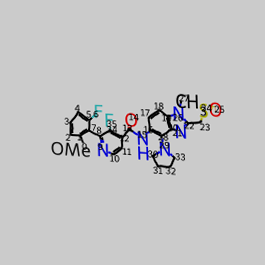 COc1cccc(F)c1-c1nccc(C(=O)Nc2ccc3c(nc(C[S+]=O)n3C)c2N2CCCC2)c1F